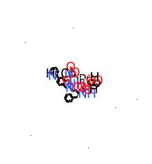 CC(C)[C@H]1OC(=O)N(C)[C@@H]1C(=O)NN(Cc1ccc(-c2ccccn2)cc1)C[C@H](O)[C@H](Cc1ccccc1)NC(=O)O[C@H]1CO[C@H]2OCC[C@H]21